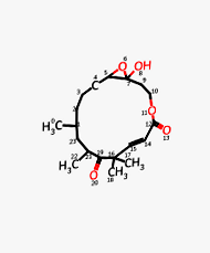 CC1CCCC2OC2(O)CCOC(=O)/C=C/C(C)(C)C(=O)C(C)C1